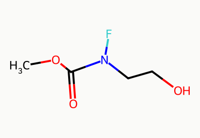 COC(=O)N(F)CCO